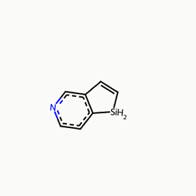 C1=Cc2cnccc2[SiH2]1